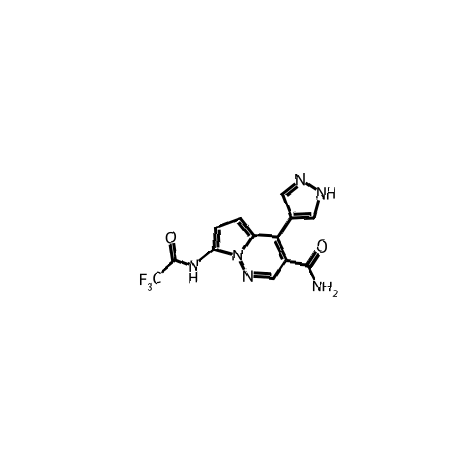 NC(=O)c1cnn2c(NC(=O)C(F)(F)F)ccc2c1-c1cn[nH]c1